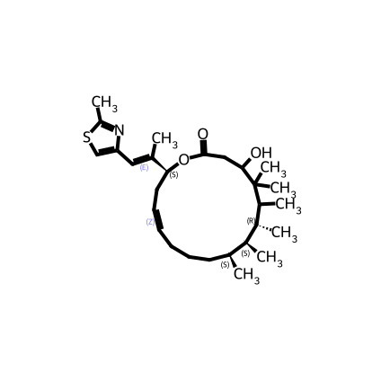 C/C(=C\c1csc(C)n1)[C@@H]1C/C=C\CCC[C@H](C)[C@H](C)[C@@H](C)C(C)C(C)(C)C(O)CC(=O)O1